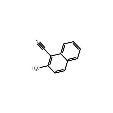 Cc1ccc2ccccc2c1C#N